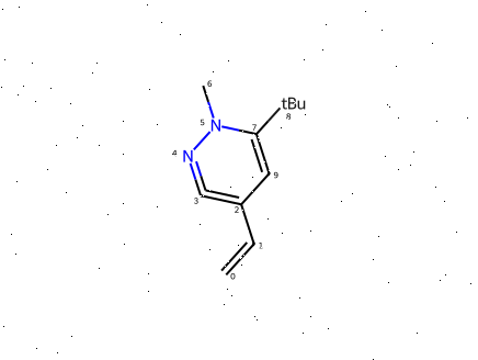 C=CC1=C=NN(C)C(C(C)(C)C)=C1